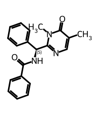 Cc1cnc([C@@H](NC(=O)c2ccccc2)c2ccccc2)n(C)c1=O